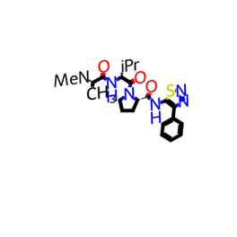 CN[C@@H](C)C(=O)N[C@H](C(=O)N1CCC[C@H]1C(=O)Nc1snnc1-c1ccccc1)C(C)C